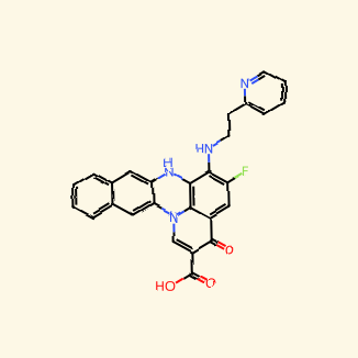 O=C(O)c1cn2c3c(c(NCCc4ccccn4)c(F)cc3c1=O)Nc1cc3ccccc3cc1-2